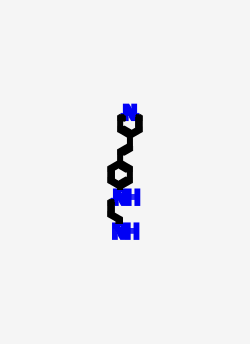 N=C/C=C\Nc1ccc(/C=C/c2ccncc2)cc1